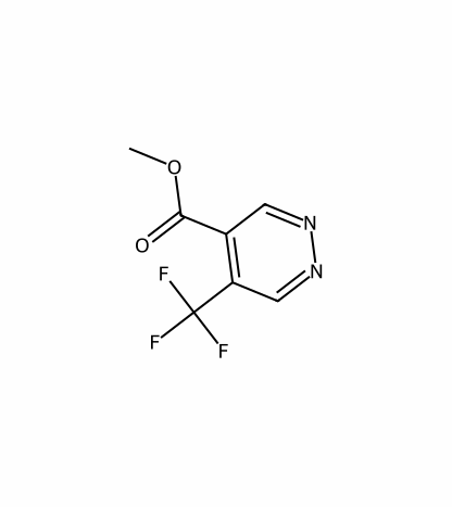 COC(=O)c1cnncc1C(F)(F)F